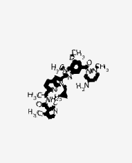 COc1cc(C(=O)N2C[C@H](N)CCN2C)cc2nc(-c3cc4ccc([C@@H](C)NC(=O)c5c(C)ccnc5C)nc4n3CC3CC3)n(C)c12